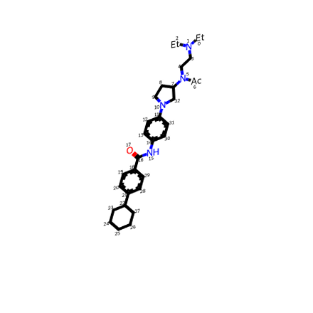 CCN(CC)CCN(C(C)=O)C1CCN(c2ccc(NC(=O)c3ccc(C4CCCCC4)cc3)cc2)C1